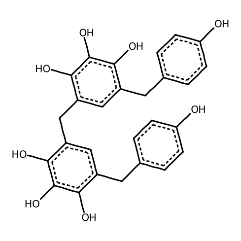 Oc1ccc(Cc2cc(Cc3cc(Cc4ccc(O)cc4)c(O)c(O)c3O)c(O)c(O)c2O)cc1